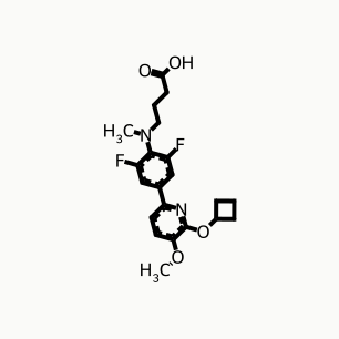 COc1ccc(-c2cc(F)c(N(C)CCCC(=O)O)c(F)c2)nc1OC1CCC1